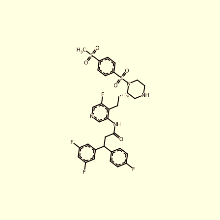 CS(=O)(=O)c1ccc(S(=O)(=O)N2CCNC[C@@H]2CCc2c(F)cncc2NC(=O)CC(c2ccc(F)cc2)c2cc(F)cc(F)c2)cc1